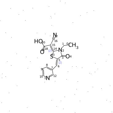 CCn1c(=O)/c(=C/c2cccnc2)s/c1=C(/C#N)C(=O)O